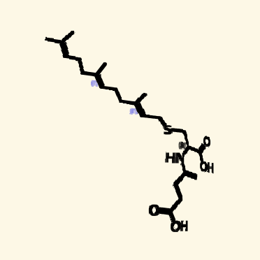 C=C(CCC(=O)O)N[C@@H](CSC/C=C(\C)CC/C=C(\C)CCC=C(C)C)C(=O)O